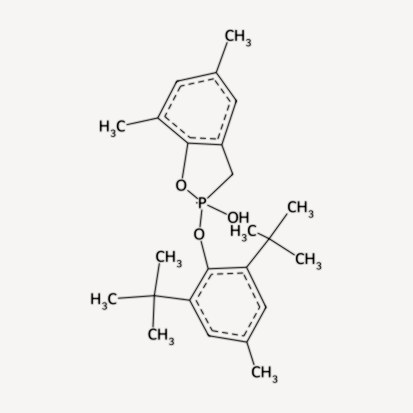 Cc1cc(C)c2c(c1)C[P](O)(Oc1c(C(C)(C)C)cc(C)cc1C(C)(C)C)O2